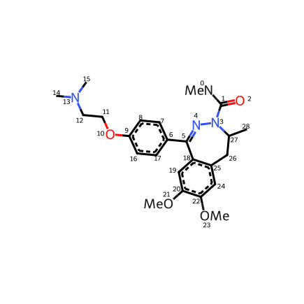 CNC(=O)N1N=C(c2ccc(OCCN(C)C)cc2)c2cc(OC)c(OC)cc2CC1C